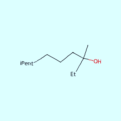 CCCC(C)CCCC(C)(O)CC